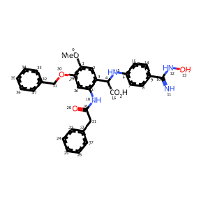 COc1cc(C(Nc2ccc(C(=N)NO)cc2)C(=O)O)c(NC(=O)Cc2ccccc2)cc1OCc1ccccc1